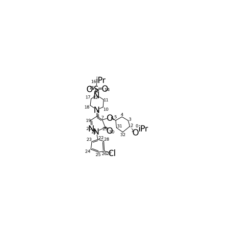 CC(C)O[C@H]1CC[C@H](Oc2c(N3CCN(S(=O)(=O)C(C)C)CC3)cnn(-c3cccc(Cl)c3)c2=O)CC1